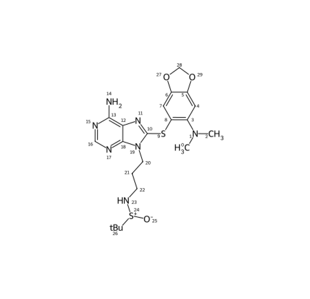 CN(C)c1cc2c(cc1Sc1nc3c(N)ncnc3n1CCCN[S+]([O-])C(C)(C)C)OCO2